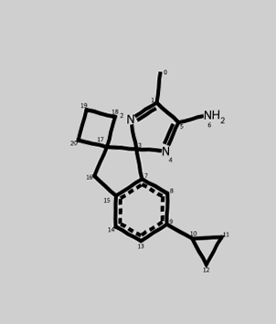 CC1=NC2(N=C1N)c1cc(C3CC3)ccc1CC21CCC1